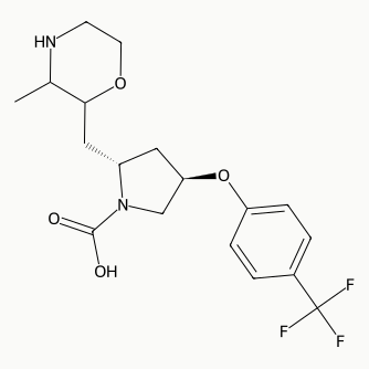 CC1NCCOC1C[C@@H]1C[C@@H](Oc2ccc(C(F)(F)F)cc2)CN1C(=O)O